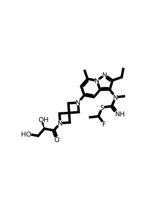 CCc1nn2c(C)cc(N3CC4(CN(C(=O)[C@H](O)CO)C4)C3)cc2c1N(C)C(=N)SC(C)F